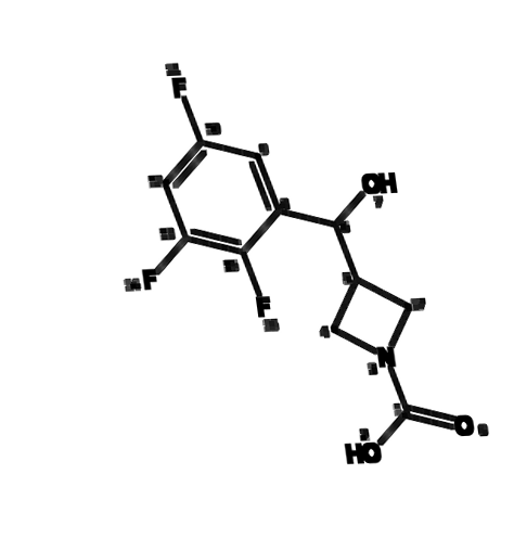 O=C(O)N1CC(C(O)c2cc(F)cc(F)c2F)C1